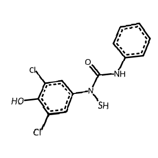 O=C(Nc1ccccc1)N(S)c1cc(Cl)c(O)c(Cl)c1